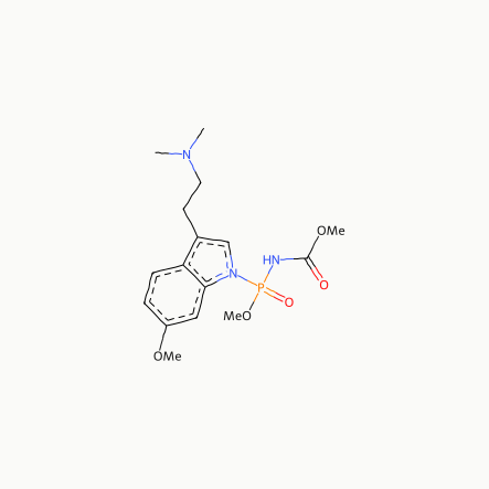 COC(=O)NP(=O)(OC)n1cc(CCN(C)C)c2ccc(OC)cc21